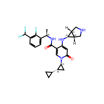 C[C@@H](NC(=O)c1cn([C@H]2C[C@@H]2C2CC2)c(=O)cc1N[C@H]1[C@@H]2CNC[C@@H]21)c1cccc(C(F)F)c1F